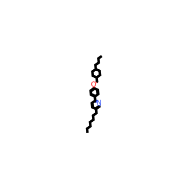 CCCCCCCc1ccc(-c2ccc(OCC3CCC(CCCC)CC3)cc2)nc1